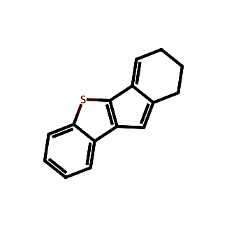 C1=C2CCCC=C2c2sc3ccccc3c21